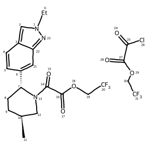 CCn1cc2ccc([C@H]3CC[C@H](C)CN3C(=O)C(=O)OCC(F)(F)F)cc2n1.O=C(Cl)C(=O)OCC(F)(F)F